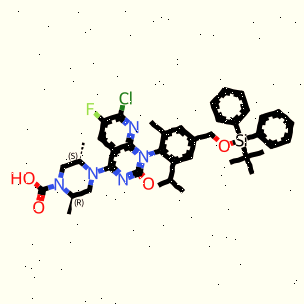 Cc1cc(CO[Si](c2ccccc2)(c2ccccc2)C(C)(C)C)cc(C(C)C)c1-n1c(=O)nc(N2C[C@@H](C)N(C(=O)O)C[C@@H]2C)c2cc(F)c(Cl)nc21